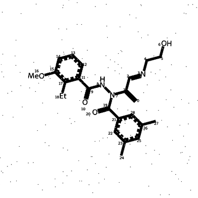 C=C(/C=N/CCO)N(NC(=O)c1cccc(OC)c1CC)C(=O)c1cc(C)cc(C)c1